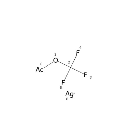 CC(=O)OC(F)(F)F.[Ag]